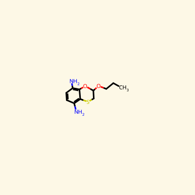 CCCOC1CSc2c(N)ccc(N)c2O1